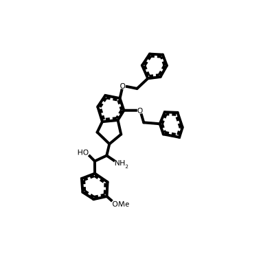 COc1cccc(C(O)C(N)C2Cc3ccc(OCc4ccccc4)c(OCc4ccccc4)c3C2)c1